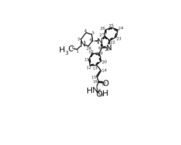 CCN1CCC[C@@H](n2c(-c3cccc(C=CC(=O)NO)c3)nc3ccccc32)C1